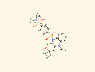 CN(c1ccccc1NS(=O)(=O)c1ccc(S(=O)(=O)N(C)C)cc1)C1CCOC2(CCC2)C1